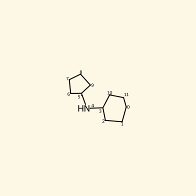 C1CCC(N[C]2CCCC2)CC1